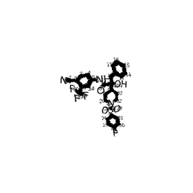 N#Cc1ccc(NC(=O)C(O)(Cc2ccccc2)C2CCN(S(=O)(=O)c3ccc(F)cc3)CC2)cc1C(F)(F)F